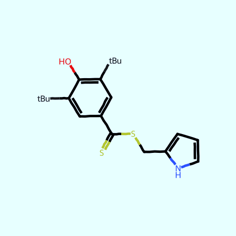 CC(C)(C)c1cc(C(=S)SCc2ccc[nH]2)cc(C(C)(C)C)c1O